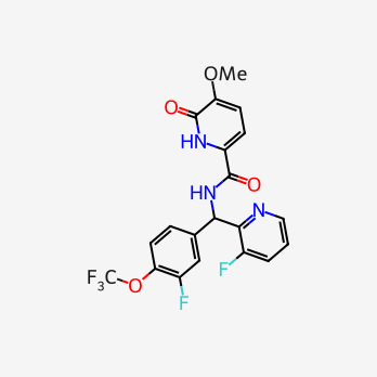 COc1ccc(C(=O)NC(c2ccc(OC(F)(F)F)c(F)c2)c2ncccc2F)[nH]c1=O